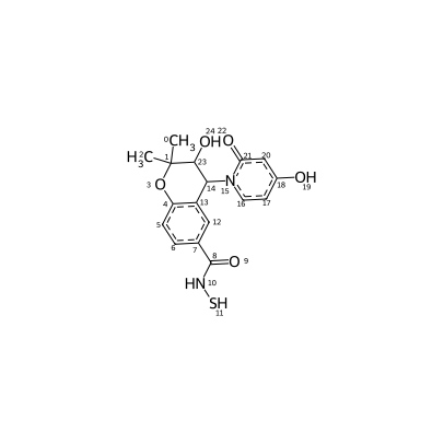 CC1(C)Oc2ccc(C(=O)NS)cc2C(n2ccc(O)cc2=O)C1O